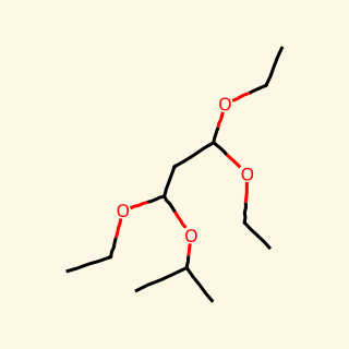 CCOC(CC(OCC)OC(C)C)OCC